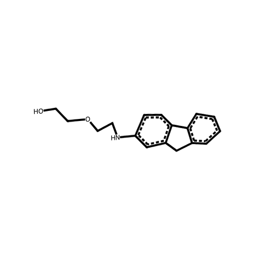 OCCOCCNc1ccc2c(c1)Cc1ccccc1-2